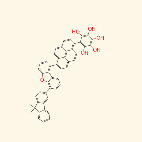 CC1(C)c2ccccc2-c2cc(-c3cccc4c3oc3cccc(-c5ccc6ccc7c(-c8c(O)c(O)c(O)c(O)c8O)ccc8ccc5c6c87)c34)ccc21